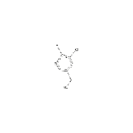 N#CCc1cnc(F)c(Cl)c1